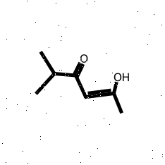 C/C(O)=C/C(=O)C(C)C